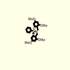 COc1ccc(CN(Cc2ccc(OC)cc2OC)S(=O)(=O)c2ccccc2)c(OC)c1